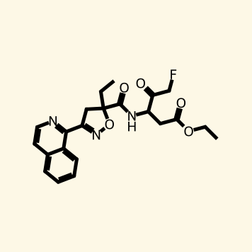 CCOC(=O)CC(NC(=O)C1(CC)CC(c2nccc3ccccc23)=NO1)C(=O)CF